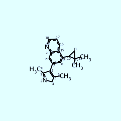 CC1=NCC(C)=C1c1cc(C2CC2(C)C)c2cccnc2c1